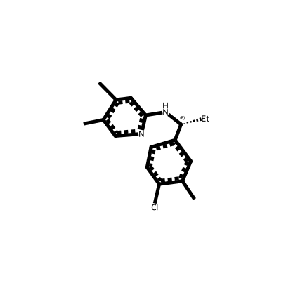 CC[C@@H](Nc1cc(C)c(C)cn1)c1ccc(Cl)c(C)c1